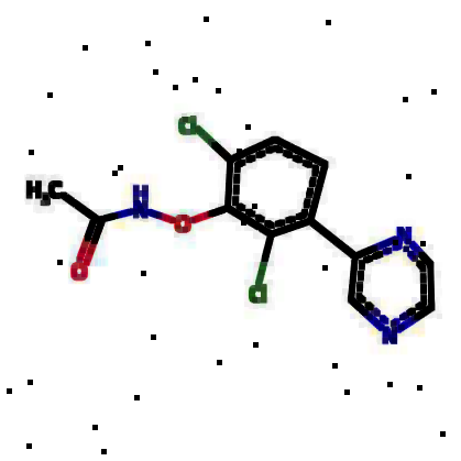 CC(=O)NOc1c(Cl)ccc(-c2cnccn2)c1Cl